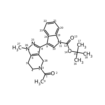 CC(=O)N1CCc2c(c(-c3cn(C(=O)OC(C)(C)C)c4ccccc34)nn2C)C1